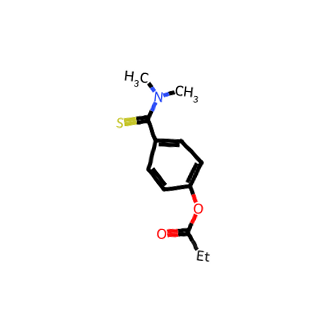 CCC(=O)Oc1ccc(C(=S)N(C)C)cc1